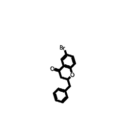 O=C1CC(Cc2ccccc2)Oc2ccc(Br)cc21